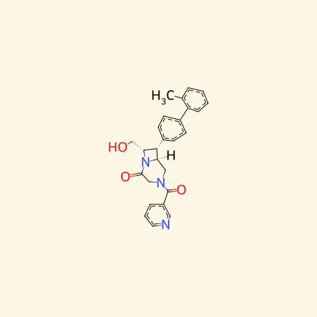 Cc1ccccc1-c1ccc([C@H]2[C@@H](CO)N3C(=O)CN(C(=O)c4cccnc4)C[C@H]23)cc1